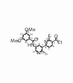 CCC(=O)c1ccc(-c2cc(NC(=O)c3cc(OC)cc(OC)c3)cnc2C)nc1F